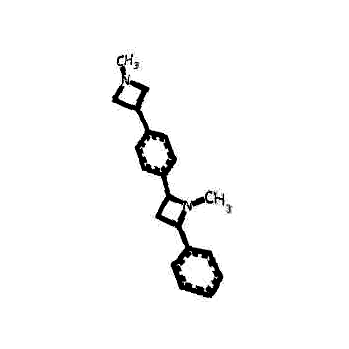 CN1CC(c2ccc(C3CC(c4ccccc4)N3C)cc2)C1